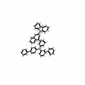 c1ccc(-c2ccc(N(c3cccc(-c4ccccc4)c3)c3cccc(-c4cc(-n5c6ccccc6c6ccccc65)cc5ccccc45)c3)cc2)cc1